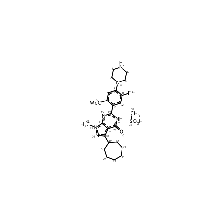 COc1cc(N2CCNCC2)c(F)cc1-c1nc2c(c(C3CCCCCC3)nn2C)c(=O)[nH]1.CS(=O)(=O)O